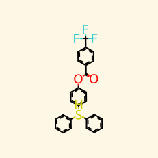 O=C(Oc1ccc([SH](c2ccccc2)c2ccccc2)cc1)c1ccc(C(F)(F)F)cc1